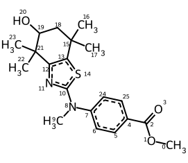 COC(=O)c1ccc(N(C)c2nc3c(s2)C(C)(C)CC(O)C3(C)C)cc1